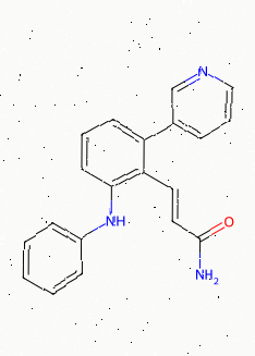 NC(=O)C=Cc1c(Nc2ccccc2)cccc1-c1cccnc1